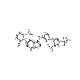 COc1ncnc(C2CC2)c1-c1ncc2cnn(Cc3cnc(-c4nc(C(F)(F)F)cn4C(C)C)s3)c2n1